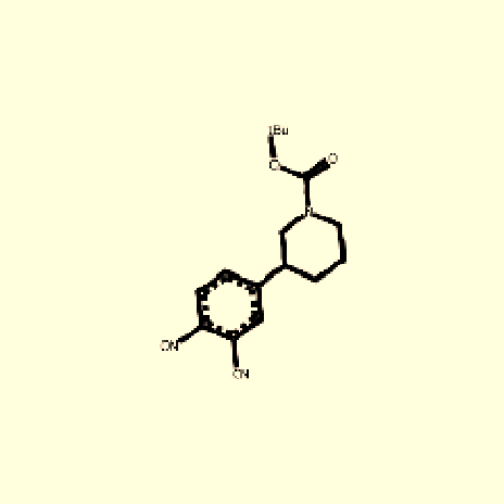 CC(C)(C)OC(=O)N1CCCC(c2ccc(N=O)c(C#N)c2)C1